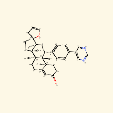 C[C@]12C[C@H](c3ccc(-c4cncnc4)cc3)[C@H]3[C@@H](CCC4=CC(=O)CC[C@@H]43)[C@@H]1CC[C@@]21CC=CO1